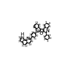 c1ccc(-c2nc3ccccc3c3c2oc2c3c3ccccc3n2-c2ccc(-c3ccc4ccc5cc[nH]c5c4n3)cc2)cc1